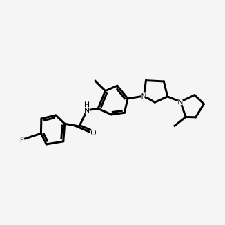 Cc1cc(N2CCC(N3CCCC3C)C2)ccc1NC(=O)c1ccc(F)cc1